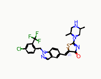 CC1CN(C2=NC(=O)/C(=C/c3ccc4c(cnn4Cc4ccc(Cl)cc4C(F)(F)F)c3)S2)C(C)CN1